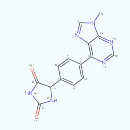 Cn1cnc2c(-c3ccc(C4NC(=O)NC4=O)cc3)ncnc21